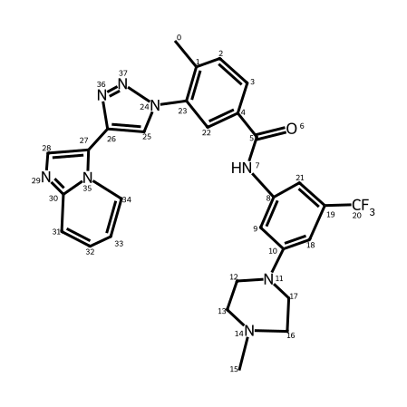 Cc1ccc(C(=O)Nc2cc(N3CCN(C)CC3)cc(C(F)(F)F)c2)cc1-n1cc(-c2cnc3ccccn23)nn1